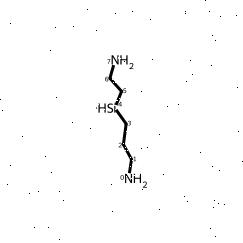 NCCC[SiH]CCN